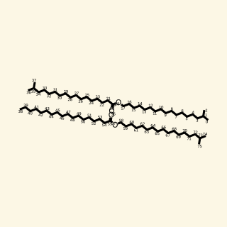 CC(C)CCCCCCCCCCCCCCCOC(=O)CCCCCCCCCCCCCCC(C)C.CCCCCCCCCCCCCCCCCC(=O)OCCCCCCCCCCCCCCCC(C)C